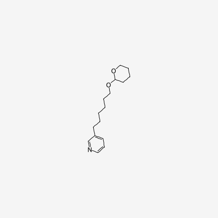 c1cncc(CCCCCCOC2CCCCO2)c1